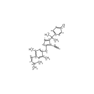 Cc1cc(Oc2snc(C(C)(C)c3ccc(Cl)cc3)c2C#N)c(C)cc1/N=C\N(C)C